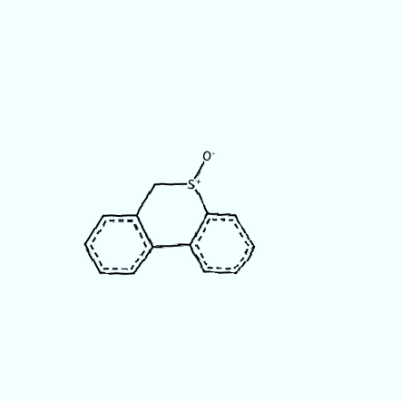 [O-][S+]1Cc2ccccc2-c2ccccc21